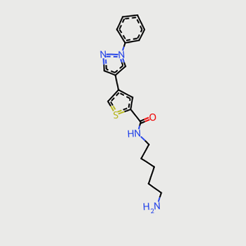 NCCCCCNC(=O)c1cc(-c2cnn(-c3ccccc3)c2)cs1